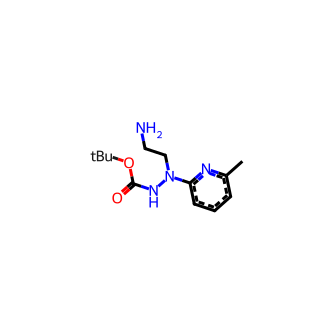 Cc1cccc(N(CCN)NC(=O)OC(C)(C)C)n1